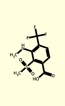 CNc1c(C(F)(F)F)ccc(C(=O)O)c1S(C)(=O)=O